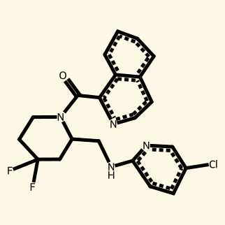 O=C(c1nccc2ccccc12)N1CCC(F)(F)CC1CNc1ccc(Cl)cn1